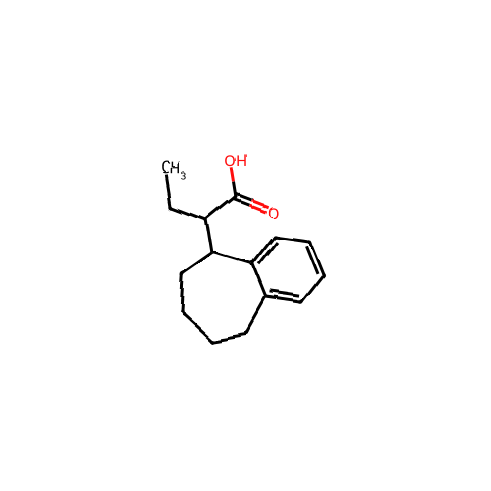 CCC(C(=O)O)C1CCCCc2ccccc21